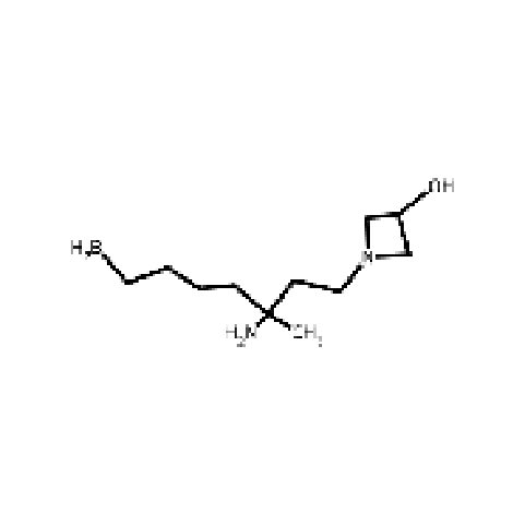 BCCCCC(C)(N)CCN1CC(O)C1